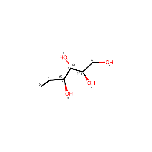 CC[C@H](O)[C@H](O)[C@H](O)CO